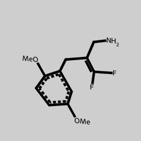 COc1ccc(OC)c(CC(CN)=C(F)F)c1